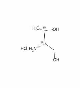 C[C@H](O)[C@@H](N)CO.Cl